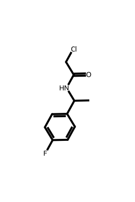 CC(NC(=O)CCl)c1ccc(F)cc1